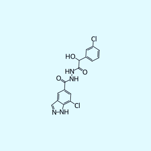 O=C(NNC(=O)C(O)c1cccc(Cl)c1)c1cc(Cl)c2[nH]ncc2c1